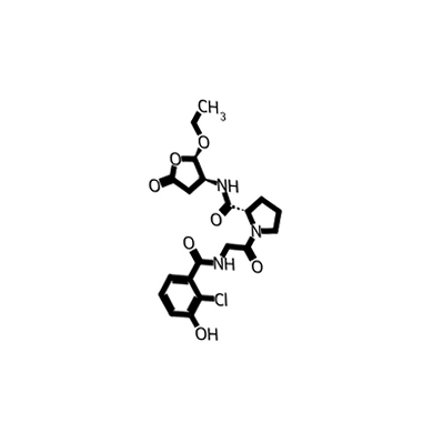 CCO[C@@H]1OC(=O)C[C@@H]1NC(=O)[C@@H]1CCCN1C(=O)CNC(=O)c1cccc(O)c1Cl